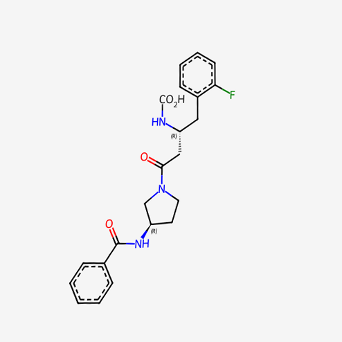 O=C(O)N[C@@H](CC(=O)N1CC[C@@H](NC(=O)c2ccccc2)C1)Cc1ccccc1F